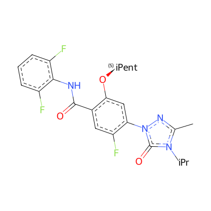 CCC[C@H](C)Oc1cc(-n2nc(C)n(C(C)C)c2=O)c(F)cc1C(=O)Nc1c(F)cccc1F